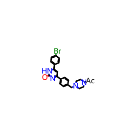 CC(=O)N1CCN(Cc2ccc(-c3cc(-c4ccc(Br)cc4)[nH]c(=O)n3)cc2)CC1